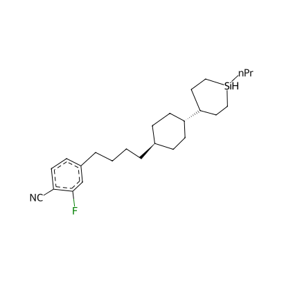 CCC[SiH]1CCC([C@H]2CC[C@H](CCCCc3ccc(C#N)c(F)c3)CC2)CC1